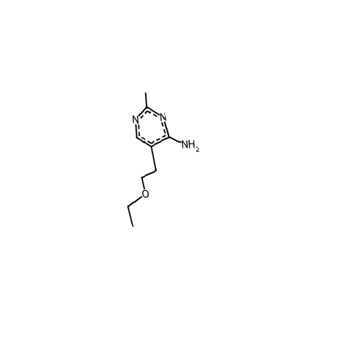 CCOCCc1cnc(C)nc1N